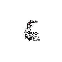 COC(=O)N[C@H](C(=O)N1CCCC1c1nc2cc([C@H]3CC[C@H](c4cc5nc([C@@H]6CCCN6C(=O)[C@@H](NC(=O)OC)[C@@H](C)OC)[nH]c5cc4F)N3c3cc(F)c(N4CCC(c5ccc(F)cc5)CC4)c(F)c3)c(F)cc2[nH]1)[C@@H](C)OC